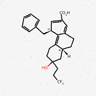 O=C(O)C1=C[C@H](Cc2ccccc2)C2=C3CCC(O)(CCC(F)(F)F)C[C@H]3CCC2=C1